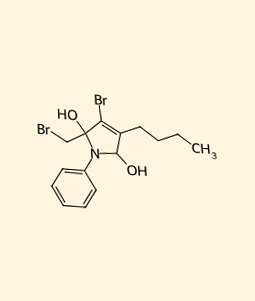 CCCCC1=C(Br)C(O)(CBr)N(c2ccccc2)C1O